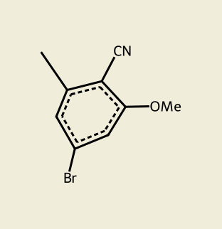 COc1cc(Br)cc(C)c1C#N